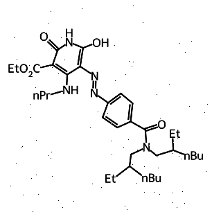 CCCCC(CC)CN(CC(CC)CCCC)C(=O)c1ccc(/N=N/c2c(O)[nH]c(=O)c(C(=O)OCC)c2NCCC)cc1